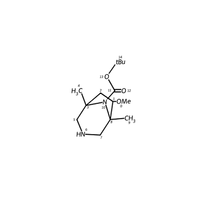 COC1CC2(C)CNCC1(C)N2C(=O)OC(C)(C)C